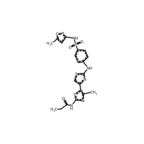 CCC(=O)Nc1nc(C)c(-c2csc(Nc3ccc(S(=O)(=O)Nc4cc(C)on4)cc3)n2)s1